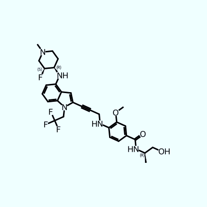 COc1cc(C(=O)N[C@H](C)CO)ccc1NCC#Cc1cc2c(N[C@@H]3CCN(C)C[C@@H]3F)cccc2n1CC(F)(F)F